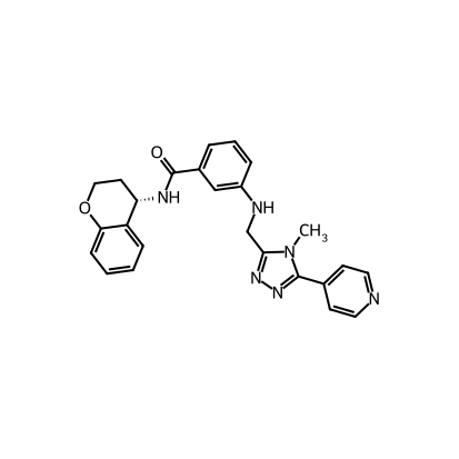 Cn1c(CNc2cccc(C(=O)N[C@H]3CCOc4ccccc43)c2)nnc1-c1ccncc1